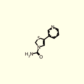 NC(=O)N1C=C(c2cccnc2)SC1